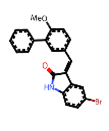 COc1ccc(C=C2C(=O)Nc3ccc(Br)cc32)cc1-c1ccccc1